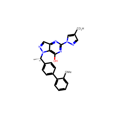 COc1ccccc1-c1ccc([C@H](C)n2ncc3nc(-n4cc(C(=O)O)cn4)nc(O)c32)cc1